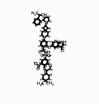 CC(C)c1ccccc1[C@H]1CCCN1C1CC2(CCN(c3ccc(C(=O)NS(=O)(=O)c4cc5c(c([N+](=O)[O-])c4)SC(C4CCC(C)(C)CC4)CO5)c(Oc4cnc5[nH]cc(Cl)c5c4)c3)CC2)C1